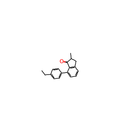 CCc1ccc(-c2cccc3c2C(=O)C(C)C3)cc1